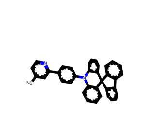 N#Cc1ccnc(-c2ccc(N3c4ccccc4C4(c5ccccc5-c5ccccc54)c4ccccc43)cc2)c1